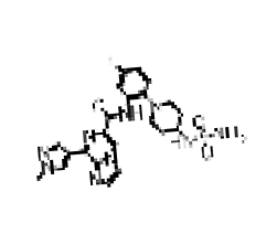 Cn1cc(-c2nc(C(=O)Nc3cc(F)ccc3N3CCC(NS(N)(=O)=O)CC3)cn3ccnc23)cn1